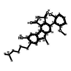 COc1cccc(Cl)c1-c1cc2c(c3c1C(=O)NC3=O)c1cc(O)c(CCCCN(C)C)cc1n2C